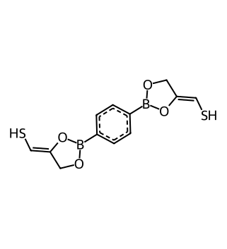 SC=C1COB(c2ccc(B3OCC(=CS)O3)cc2)O1